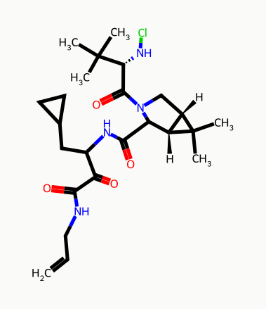 C=CCNC(=O)C(=O)C(CC1CC1)NC(=O)C1[C@@H]2[C@H](CN1C(=O)[C@@H](NCl)C(C)(C)C)C2(C)C